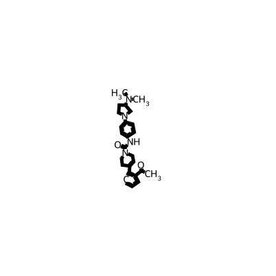 CC(=O)c1ccccc1C1=CCN(C(=O)Nc2ccc(N3CCC(N(C)C)C3)cc2)CC1